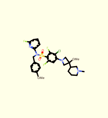 COc1ccc(CN(c2cccc(F)n2)S(=O)(=O)c2c(F)cc(N3CC(OC)(C4CCCN(C)C4)C3)c(Cl)c2F)cc1